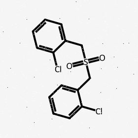 O=S(=O)(Cc1ccccc1Cl)Cc1ccccc1Cl